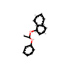 CC(Oc1ccccc1)Oc1cccc2ccccc12